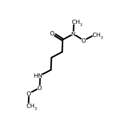 COONCCCC(=O)N(C)OC